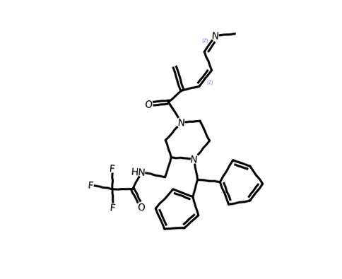 C=C(/C=C\C=N/C)C(=O)N1CCN(C(c2ccccc2)c2ccccc2)C(CNC(=O)C(F)(F)F)C1